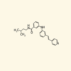 CC(C)CCNC(=O)c1cccc(Nc2cccc(C=Cc3ccncc3)c2)c1